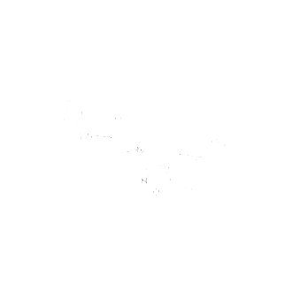 O=C(CNc1noc2ccc(C(F)(F)F)cc12)NC1CCC1